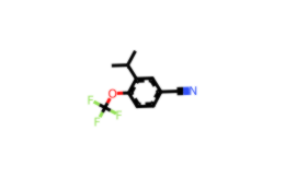 C[C](C)c1cc(C#N)ccc1OC(F)(F)F